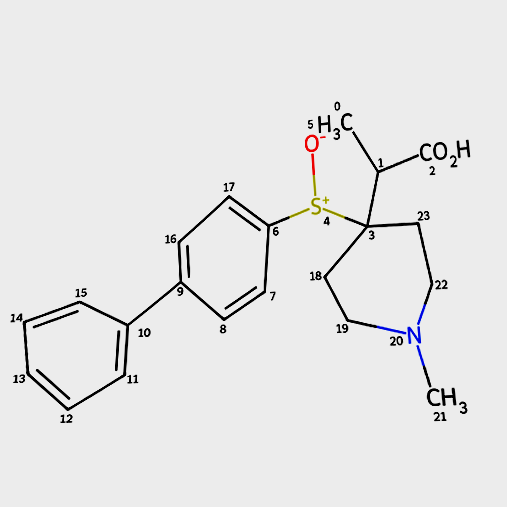 CC(C(=O)O)C1([S+]([O-])c2ccc(-c3ccccc3)cc2)CCN(C)CC1